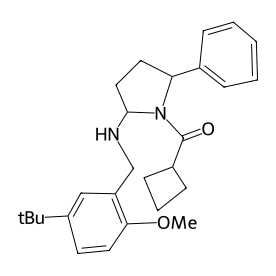 COc1ccc(C(C)(C)C)cc1CNC1CCC(c2ccccc2)N1C(=O)C1CCC1